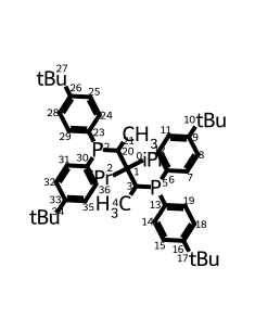 CC(C)C(C(C)C)(C(C)P(c1ccc(C(C)(C)C)cc1)c1ccc(C(C)(C)C)cc1)C(C)P(c1ccc(C(C)(C)C)cc1)c1ccc(C(C)(C)C)cc1